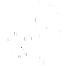 CC(=O)O.C[SiH2]O.Cn1c(=O)c2[nH]cnc2n(C)c1=O.O=CC(O)C(O)C(O)C(O)C(=O)O